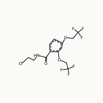 O=C(NCCCl)c1ccc(OCC(F)(F)F)cc1OCC(F)(F)F